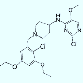 CCOc1cc(CN2CCC(Nc3nc(Cl)ncc3OC)CC2)c(Cl)c(OCC)c1